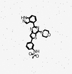 CS(=O)(=O)Nc1cccc(-c2cc3nc(-c4cccc5[nH]ncc45)nc(N4CCOCC4)c3s2)c1